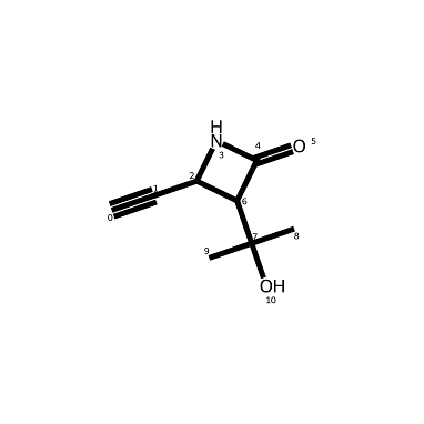 C#CC1NC(=O)C1C(C)(C)O